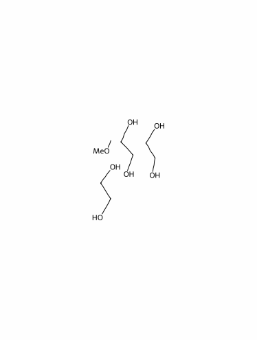 COC.OCCO.OCCO.OCCO